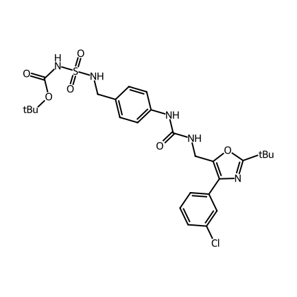 CC(C)(C)OC(=O)NS(=O)(=O)NCc1ccc(NC(=O)NCc2oc(C(C)(C)C)nc2-c2cccc(Cl)c2)cc1